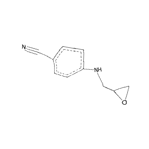 N#Cc1ccc(NCC2CO2)cc1